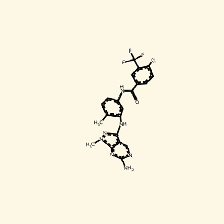 Cc1ccc(NC(=O)c2ccc(Cl)c(C(F)(F)F)c2)cc1Nc1nn(C)c2nc(N)ncc12